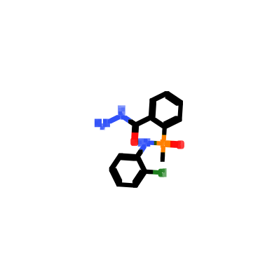 CP(=O)(Nc1ccccc1Cl)c1ccccc1C(=O)NN